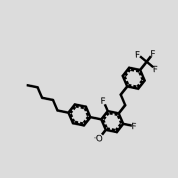 CCCCCc1ccc(-c2c([O])cc(F)c(CCc3ccc(C(F)(F)F)cc3)c2F)cc1